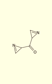 O=C(C1C=N1)C1C=N1